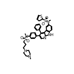 CN1CCN(CCCS(=O)(=O)N(C)c2ccc(-c3cnc4[nH]c5ccc(N(C)S(=O)(=O)C6CC=CS6)cc5c4c3-c3ccccc3)cc2)CC1